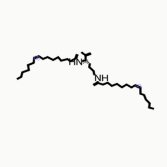 C=C(CCCCCCC/C=C\CCCCCC)NCCCC[C@H](NC(=C)CCCCCCC/C=C\CCCCCC)C(=C)C